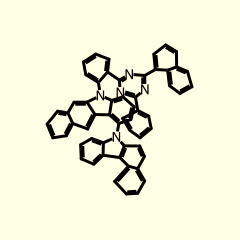 c1ccc(-c2nc(-c3ccccc3-n3c4cc5ccccc5cc4c4c(-n5c6ccccc6c6c7ccccc7ccc65)cccc43)nc(-c3cccc4ccccc34)n2)cc1